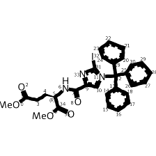 COC(=O)CC[C@@H](NC(=O)c1cn(C(c2ccccc2)(c2ccccc2)c2ccccc2)c(I)n1)C(=O)OC